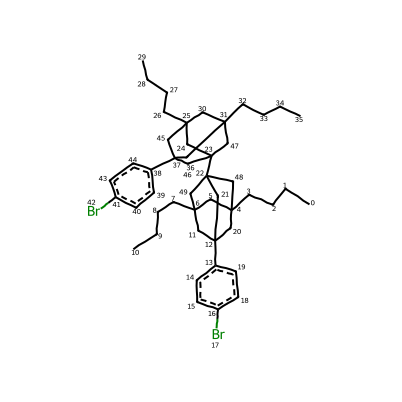 CCCCC12CC3(CCCC)CC(c4ccc(Br)cc4)(C1)CC(C14CC5(CCCC)CC(CCCC)(CC(c6ccc(Br)cc6)(C5)C1)C4)(C2)C3